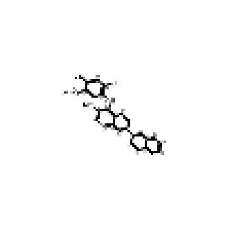 COc1cc(Nc2c(C#N)cnc3cc(-c4ccc5ccccc5c4)ccc23)c(Cl)cc1Cl